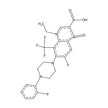 CCn1cc(C(=O)O)c(=O)c2cc(F)c(N3CCN(c4ccccc4F)CC3)c(C(F)(F)F)c21